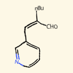 CCCCC(C=O)=Cc1cccnc1